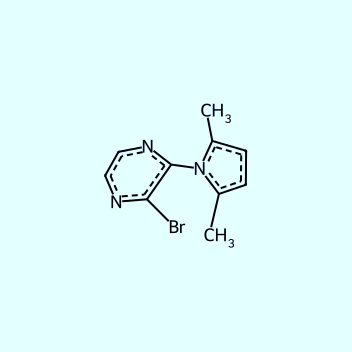 Cc1ccc(C)n1-c1nccnc1Br